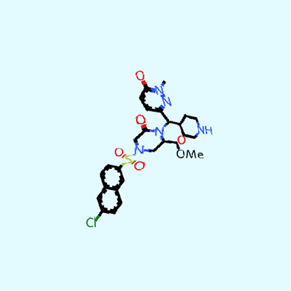 COC(=O)C1CN(S(=O)(=O)c2ccc3cc(Cl)ccc3c2)CC(=O)N1C(c1ccc(=O)n(C)n1)C1CCNCC1